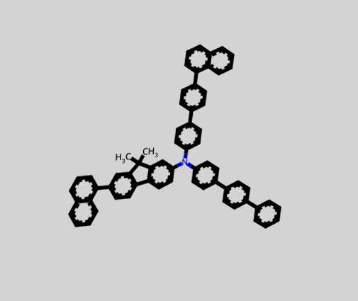 CC1(C)c2cc(-c3cccc4ccccc34)ccc2-c2ccc(N(c3ccc(-c4ccc(-c5ccccc5)cc4)cc3)c3ccc(-c4ccc(-c5cccc6ccccc56)cc4)cc3)cc21